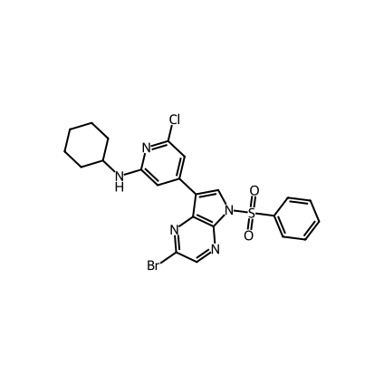 O=S(=O)(c1ccccc1)n1cc(-c2cc(Cl)nc(NC3CCCCC3)c2)c2nc(Br)cnc21